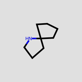 C1CCC2(C1)CCCN2